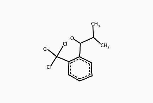 CC(C)C([O])c1ccccc1C(Cl)(Cl)Cl